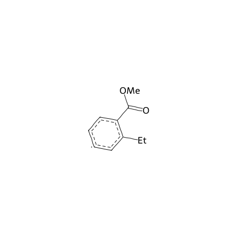 CCc1c[c]ccc1C(=O)OC